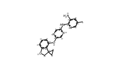 Cc1cnc(Nc2cnc(Oc3cccc4c3C3(CC3)CO4)cn2)c(N)c1